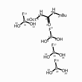 CCCCCCCCNC(=O)NCCCC.OB(O)F.OB(O)F.OB(O)F.OB(O)F